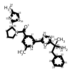 Cc1cc(C(=O)N2CCC[C@@H]2c2nc(C)cs2)cc(-c2nnc([C@](C)(N)Cc3ccccc3)o2)n1